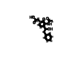 CC(=O)Nc1c(C(O)Cc2ccccc2)ccn(CC(=O)O)c1=O